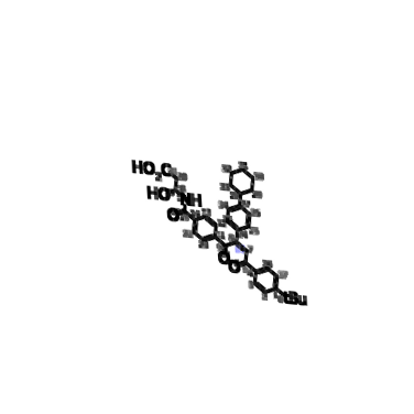 CC(C)(C)c1ccc(C(=O)/C=C(\C(=O)c2ccc(C(=O)NC(O)CC(=O)O)cc2)c2ccc(C3CCCCC3)cc2)cc1